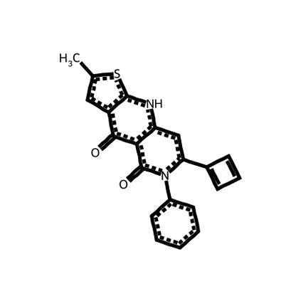 Cc1cc2c(=O)c3c(=O)n(-c4ccccc4)c(C4=CC=C4)cc3[nH]c2s1